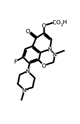 CN1CCN(c2c(F)cc3c(=O)c(OC(=O)O)cn4c3c2OCN4C)CC1